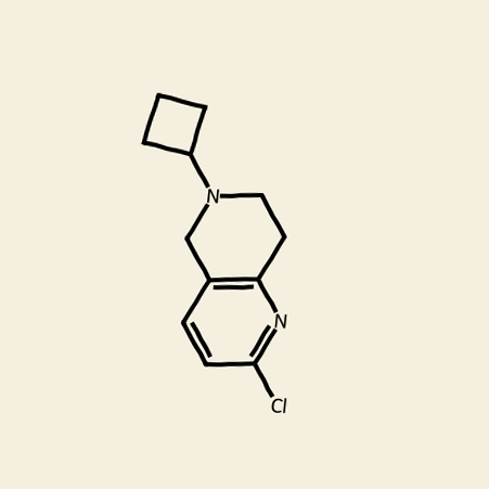 Clc1ccc2c(n1)CCN(C1CCC1)C2